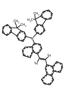 [2H]/C(=C(/[2H])c1cc2ccccc2c2ccccc12)c1ccc(N(c2ccc3c(c2)C(C)(C)c2ccccc2-3)c2ccc3c(c2)C(C)(C)c2ccccc2-3)c2ccccc12